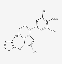 CCCCC1=[C]([Zr][CH]2C(C)=Cc3c(-c4cc(C(C)(C)C)c(OC)c(C(C)(C)C)c4)cccc32)CC=C1